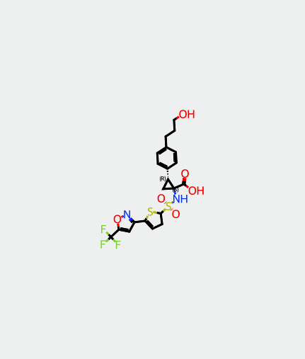 O=C(O)[C@]1(NS(=O)(=O)C2CC=C(c3cc(C(F)(F)F)on3)S2)C[C@@H]1c1ccc(CCCO)cc1